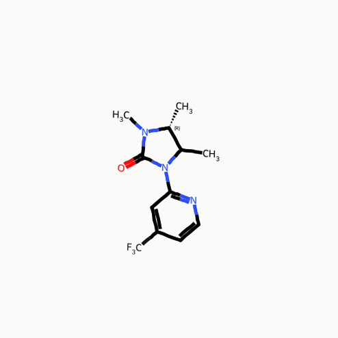 CC1[C@@H](C)N(C)C(=O)N1c1cc(C(F)(F)F)ccn1